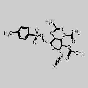 CC(=O)O[C@@H]1[C@@H](OC(C)=O)[C@H](N=[N+]=[N-])O[C@H](COS(=O)(=O)c2ccc(C)cc2)[C@H]1OC(C)=O